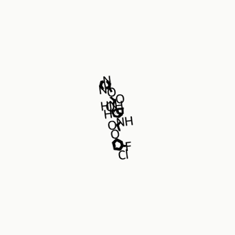 O=C(COc1ccc(Cl)c(F)c1)NC1=C2CC(NC(=O)COc3cnccn3)(C2)[C@@H](O)C1